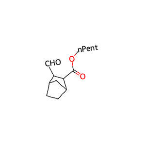 CCCCCOC(=O)C1C2CCC(C2)C1C=O